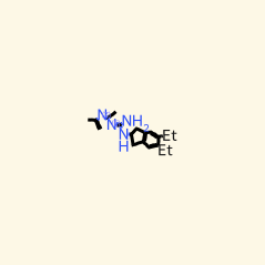 C=C(C)/N=C(C)\N=C(/N)NC1Cc2cc(CC)c(CC)cc2C1